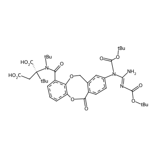 CC(C)(C)OC(=O)N=C(N)N(C(=O)OC(C)(C)C)c1ccc2c(c1)COc1c(cccc1C(=O)N(C(C)(C)C)[C@@](CC(=O)O)(C(=O)O)C(C)(C)C)OC2=O